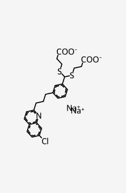 O=C([O-])CCSC(SCCC(=O)[O-])c1cccc(CCCc2ccc3ccc(Cl)cc3n2)c1.[Na+].[Na+]